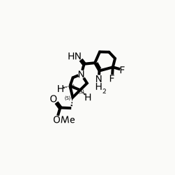 COC(=O)C[C@@H]1[C@H]2CN(C(=N)C3=C(N)C(F)(F)CCC3)C[C@@H]12